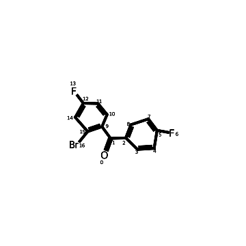 O=C(c1ccc(F)cc1)c1ccc(F)cc1Br